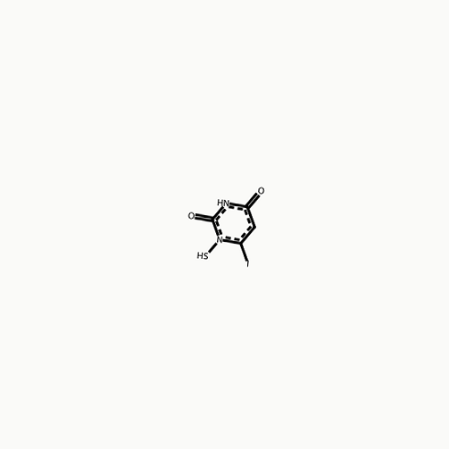 O=c1cc(I)n(S)c(=O)[nH]1